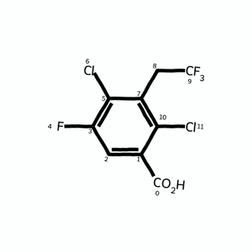 O=C(O)c1cc(F)c(Cl)c(CC(F)(F)F)c1Cl